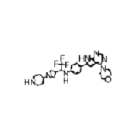 FC(F)(F)C(Nc1ccc(-c2cc3c(N4CCOCC4)ncnc3[nH]2)cc1)C1CN(C2CCNCC2)C1